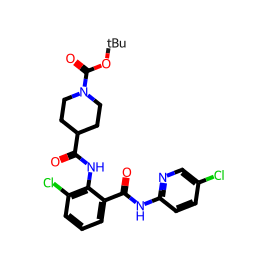 CC(C)(C)OC(=O)N1CCC(C(=O)Nc2c(Cl)cccc2C(=O)Nc2ccc(Cl)cn2)CC1